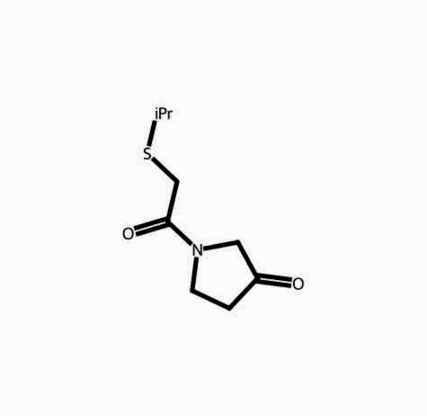 CC(C)SCC(=O)N1CCC(=O)C1